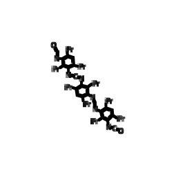 CC(C)c1cc(C(C)C)c(N=C=Nc2c(C(C)C)cc(C(C)C)c(N=C=Nc3c(C(C)C)cc(C(C)C)c(N=C=O)c3C(C)C)c2C(C)C)c(C(C)C)c1N=C=O